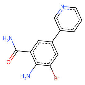 NC(=O)c1cc(-c2cccnc2)cc(Br)c1N